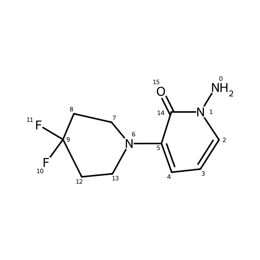 Nn1cccc(N2CCC(F)(F)CC2)c1=O